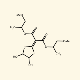 COCC(C)OC(=O)C(C(=O)OC(C)COC)=C1SC(O)C(O)S1